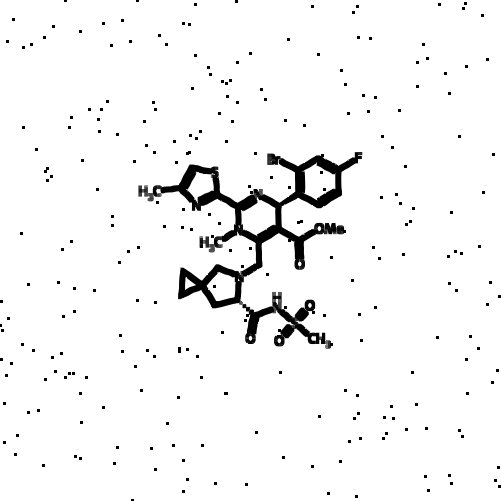 COC(=O)C1=C(CN2CC3(CC3)C[C@H]2C(=O)NS(C)(=O)=O)N(C)C(c2nc(C)cs2)=N[C@H]1c1ccc(F)cc1Br